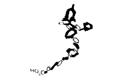 Cc1cc(C)c(C2=C(OCc3ccccc3)C3(CCC(OCCN4CCN(CCOCCOCC(=O)O)CC4)CC3)OC2=O)c(C)c1